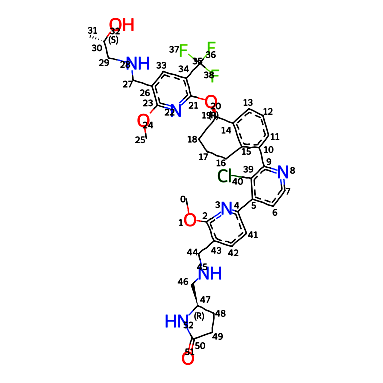 COc1nc(-c2ccnc(-c3cccc4c3CCC[C@H]4Oc3nc(OC)c(CNC[C@H](C)O)cc3C(F)(F)F)c2Cl)ccc1CNC[C@H]1CCC(=O)N1